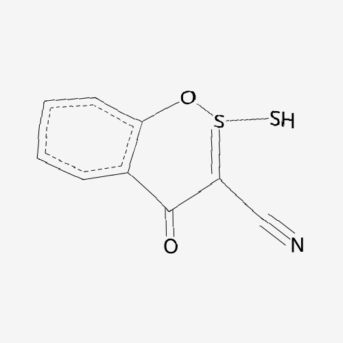 N#CC1=S(S)Oc2ccccc2C1=O